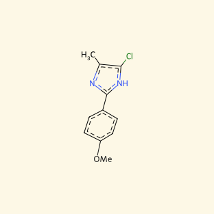 COc1ccc(-c2nc(C)c(Cl)[nH]2)cc1